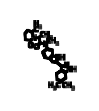 CC1CCCC(=O)N1C(C)C(=O)N(C)c1ccc2cc(-c3n[nH]c4c3CCC(C)(C)C4)[nH]c2c1